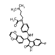 CC(=O)N(CCCN(C)C)c1ccc(NC(=C2C(=O)Nc3cc(F)ccc32)c2ccc3c(c2)OC=CO3)cc1